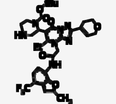 CCc1c(C2CNCCN2C(=O)OC(C)(C)C)c(=O)n2nc(C3=CCOCC3)nc2n1CC(=O)Nc1ccc(C(F)(F)F)c2cc(C)oc12